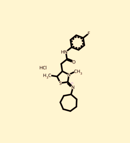 CC1S/C(=N\C2CCCCCC2)N(C)C1CC(=O)Nc1ccc(F)cc1.Cl